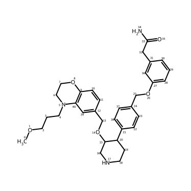 COCCCN1CCOc2ccc(COC3CNCCC3c3ccc(COc4cccc(CC(N)=O)c4)cc3)cc21